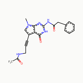 Cn1cc(C#CCNC(=O)C(F)(F)F)c2c(=O)[nH]c(NC(=O)Cc3ccccc3)nc21